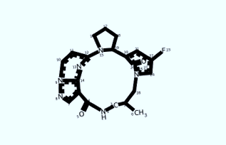 CC1CNC(=O)c2cnn3ccc(nc23)N2CCCC2c2cc(F)cn(c2=O)C1